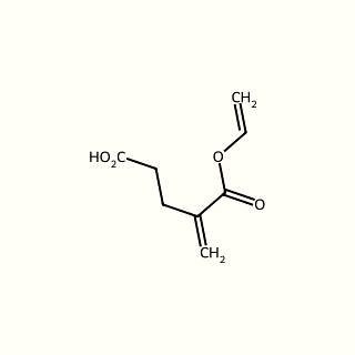 C=COC(=O)C(=C)CCC(=O)O